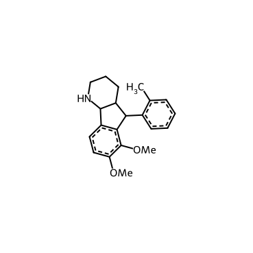 COc1ccc2c(c1OC)C(c1ccccc1C)C1CCCNC21